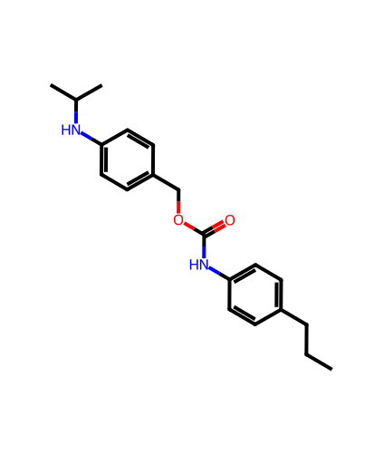 CCCc1ccc(NC(=O)OCc2ccc(NC(C)C)cc2)cc1